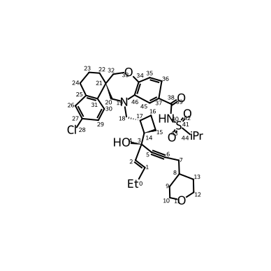 CC/C=C/[C@@](O)(C#CCC1CCOCC1)[C@@H]1CC[C@H]1CN1C[C@@]2(CCCc3cc(Cl)ccc32)COc2ccc(C(=O)NS(=O)(=O)C(C)C)cc21